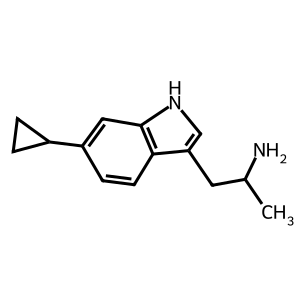 CC(N)Cc1c[nH]c2cc(C3CC3)ccc12